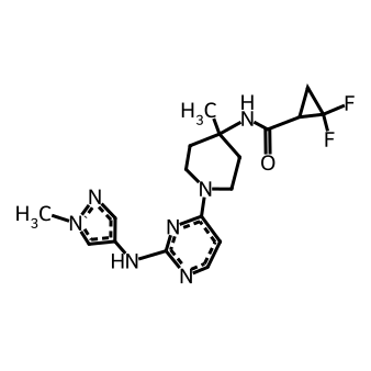 Cn1cc(Nc2nccc(N3CCC(C)(NC(=O)C4CC4(F)F)CC3)n2)cn1